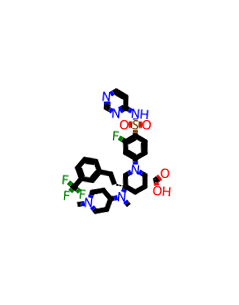 CN1CCC(N(C)[C@]2(CCc3cccc(C(F)(F)F)c3)CCCN(c3ccc(S(=O)(=O)Nc4ccncn4)c(F)c3)C2)CC1.O=CO